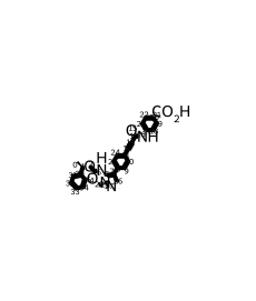 C[C@@H](OC(=O)Nc1c(-c2ccc(C#CC(=O)Nc3ccc(C(=O)O)cc3)cc2)cnn1C)c1ccccc1